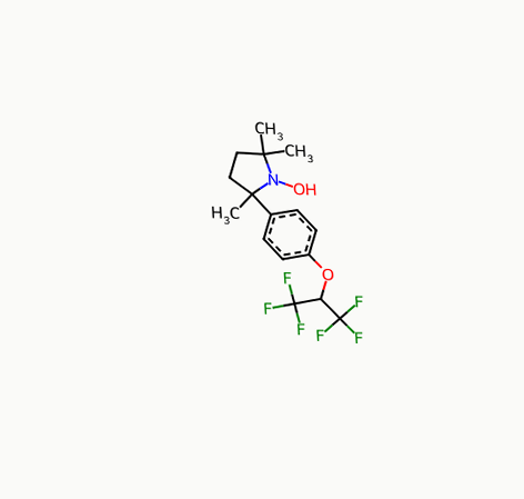 CC1(C)CCC(C)(c2ccc(OC(C(F)(F)F)C(F)(F)F)cc2)N1O